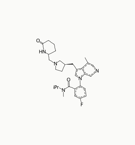 Cc1cncc2c1c(C[C@H]1CCN(CC3CCCC(=O)N3)C1)cn2-c1ccc(F)cc1C(=O)N(C)C(C)C